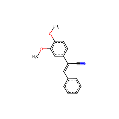 COc1ccc(C(C#N)=Cc2cc[c]cc2)cc1OC